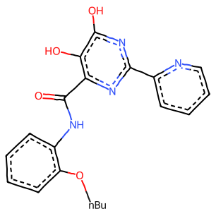 CCCCOc1ccccc1NC(=O)c1nc(-c2ccccn2)nc(O)c1O